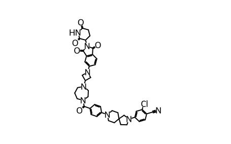 N#Cc1ccc(N2CCC3(CCN(c4ccc(C(=O)N5CCCN(C6CN(c7ccc8c(c7)C(=O)N(C7CCC(=O)NC7=O)C8=O)C6)CC5)cc4)CC3)C2)cc1Cl